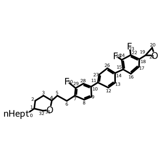 CCCCCCCC1CCC(CCc2ccc(-c3ccc(-c4ccc(C5CO5)c(F)c4F)cc3)cc2F)OC1